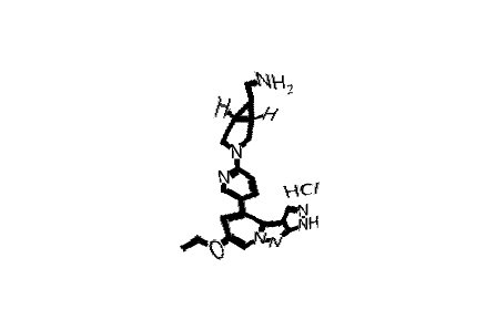 CCOc1cc(-c2ccc(N3C[C@@H]4C(CN)[C@@H]4C3)nc2)c2c3cn[nH]c3nn2c1.Cl